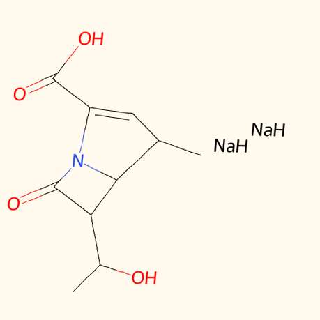 CC(O)C1C(=O)N2C(C(=O)O)=CC(C)C12.[NaH].[NaH]